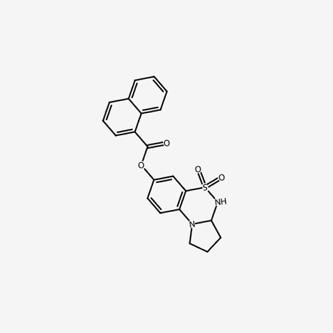 O=C(Oc1ccc2c(c1)S(=O)(=O)NC1CCCN21)c1cccc2ccccc12